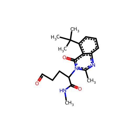 CNC(=O)C(CCC=O)n1c(C)nc2cccc(C(C)(C)C)c2c1=O